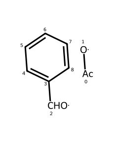 CC([O])=O.O=[C]c1ccccc1